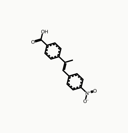 C/C(=C\c1ccc([N+](=O)[O-])cc1)c1ccc(C(=O)O)cc1